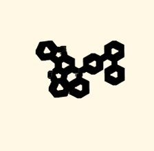 c1ccc(-c2ccccc2-c2ccc(N(c3ccccc3)c3cc4sc5ccccc5c4c4oc5ccccc5c34)cc2)cc1